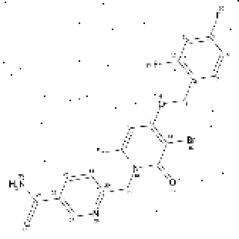 Cc1cc(OCc2ccc(F)cc2F)c(Br)c(=O)n1Cc1ccc(C(N)=O)cn1